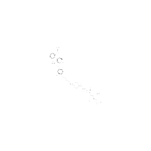 O=C(NC[C@@H](O)[C@H](O)[C@@H](O)[C@@H](O)CO)NC1CCN(C(=O)CCCCc2cc(Cl)c(COC3(c4cnccc4-c4ccccc4OC4CC4)CC3)cc2Cl)CC1